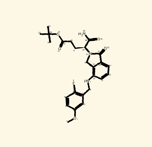 COc1ccc(F)c(CNc2cccc3c2CN([C@@H](CCC(=O)OC(C)(C)C)C(N)=O)C3=O)c1